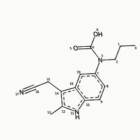 CCCN(C(=O)O)c1ccc2[nH]c(C)c(CC#N)c2c1